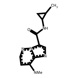 CNc1ccnn2c(C(=O)NC3CC3C)cnc12